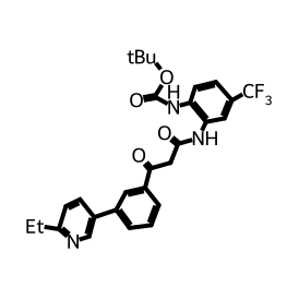 CCc1ccc(-c2cccc(C(=O)CC(=O)Nc3cc(C(F)(F)F)ccc3NC(=O)OC(C)(C)C)c2)cn1